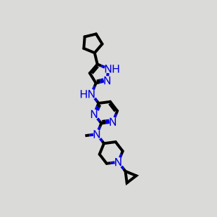 CN(c1nccc(Nc2cc(C3CCCC3)[nH]n2)n1)C1CCN(C2CC2)CC1